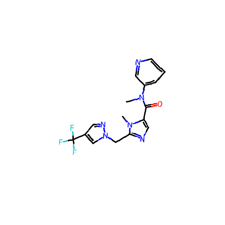 CN(C(=O)c1cnc(Cn2cc(C(F)(F)F)cn2)n1C)c1cccnc1